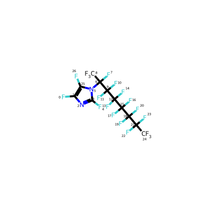 Fc1nc(F)n(C(F)(C(F)(F)F)C(F)(F)C(F)(F)C(F)(F)C(F)(F)C(F)(F)C(F)(F)F)c1F